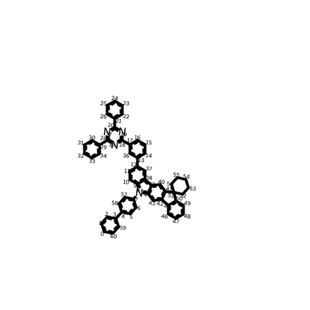 c1ccc(-c2ccc(-n3c4ccc(-c5cccc(-c6nc(-c7ccccc7)nc(-c7ccccc7)n6)c5)cc4c4cc5c(cc43)-c3ccccc3C53CCCCC3)cc2)cc1